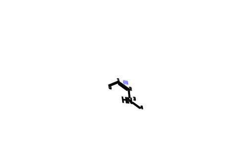 C/C=C\NC